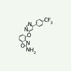 Nc1nc2c(Oc3cc(-c4ccc(C(F)(F)F)cc4)ncn3)cccc2o1